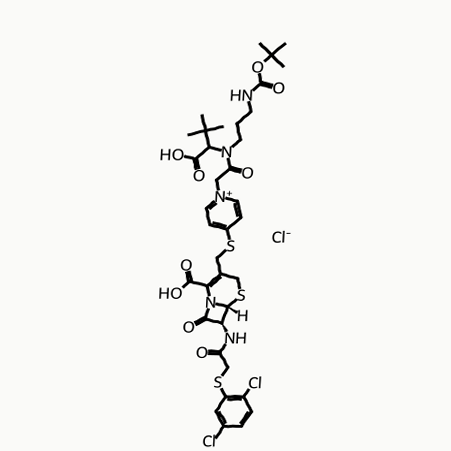 CC(C)(C)OC(=O)NCCCN(C(=O)C[n+]1ccc(SCC2=C(C(=O)O)N3C(=O)[C@H](NC(=O)CSc4cc(Cl)ccc4Cl)[C@H]3SC2)cc1)C(C(=O)O)C(C)(C)C.[Cl-]